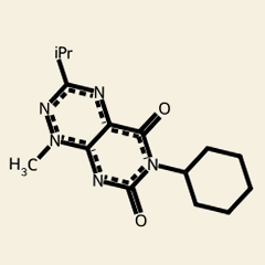 CC(C)c1nc2c(=O)n(C3CCCCC3)c(=O)nc-2n(C)n1